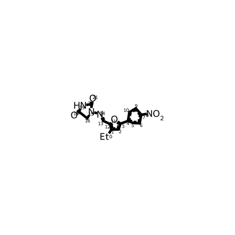 CCc1cc(-c2ccc([N+](=O)[O-])cc2)oc1/C=N/N1CC(=O)NC1=O